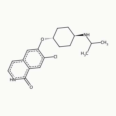 CC(C)N[C@H]1CC[C@H](Oc2cc3cc[nH]c(=O)c3cc2Cl)CC1